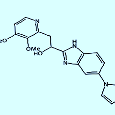 COc1ccnc(CC(O)c2nc3cc(-n4cccc4)ccc3[nH]2)c1OC